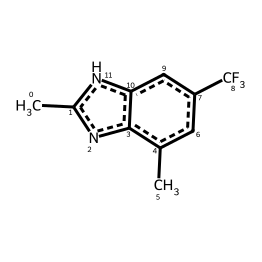 Cc1nc2c(C)cc(C(F)(F)F)cc2[nH]1